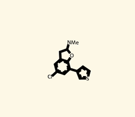 CNC1Cc2cc(Cl)cc(-c3ccsc3)c2O1